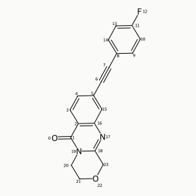 O=c1c2ccc(C#Cc3ccc(F)cc3)cc2nc2n1CCOC2